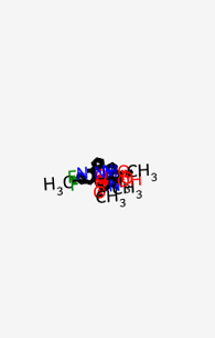 COC(=O)[C@]1(Cc2cc3c(cc2OC)N(C)C2C(O)C(OC(C)=O)C4C=CCN5CCC32C45)CC2CC(C(C)(F)F)CN(Cc3c1[nH]c1ccccc31)C2